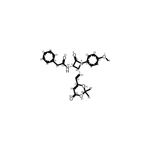 COc1ccc(N2C(=O)[C@@H](NC(=O)Cc3ccccc3)[C@H]2C=CC2=CC(=O)OC(C)(C)O2)cc1